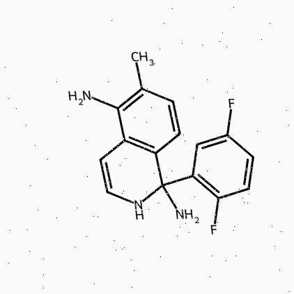 Cc1ccc2c(c1N)C=CNC2(N)c1cc(F)ccc1F